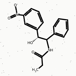 CCC(=O)NC(c1ccccc1)[C@H](O)c1cccc([N+](=O)[O-])c1